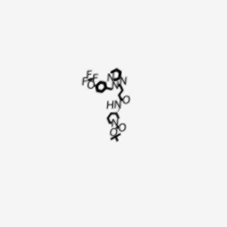 CC(C)(C)OC(=O)N1CCC[C@H](CNC(=O)CCc2nc3cccnc3n2Cc2ccc(OC(F)(F)F)cc2)C1